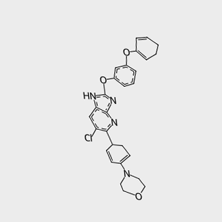 Clc1cc2[nH]c(Oc3cccc(OC4=CCCC=C4)c3)nc2nc1C1C=CC(N2CCOCC2)=CC1